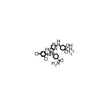 CC1(C)CC[C@@H](Nc2ncc3nc(Nc4c(F)cc(Cl)cc4Cl)n([C@H]4CC[C@H](C(N)=O)CC4)c3n2)C[C@H]1O